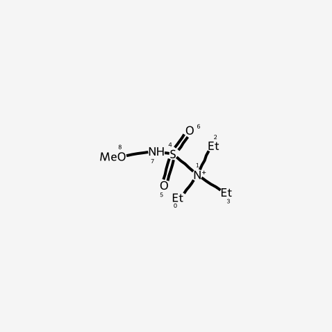 CC[N+](CC)(CC)S(=O)(=O)NOC